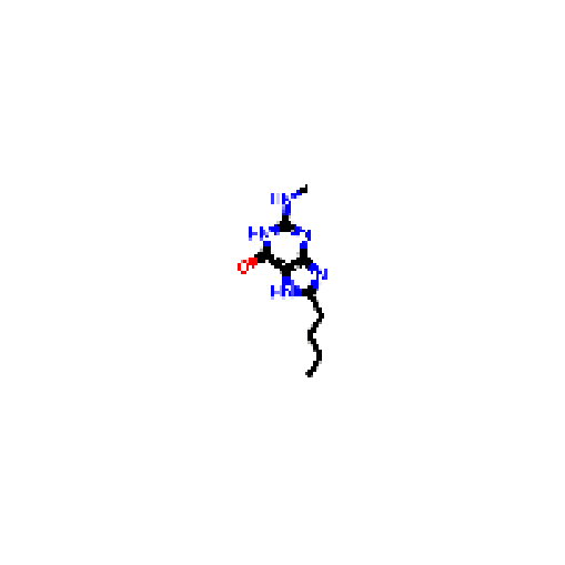 CCCCc1nc2nc(NC)[nH]c(=O)c2[nH]1